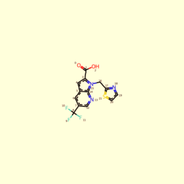 O=C(O)c1cc2cc(C(F)(F)F)cnc2n1Cc1nccs1